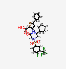 O=C(O)c1sc(-c2ccccc2)cc1N1C(=O)CN(S(=O)(=O)c2ccc(F)c(C(F)(F)F)c2)CC1C1CCCCC1